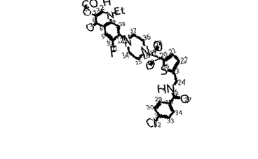 CCn1cc(OC(=O)O)c(=O)c2cc(F)c(N3CCN(S(=O)(=O)c4ccc(CNC(=O)c5ccc(Cl)cc5)s4)CC3)cc21